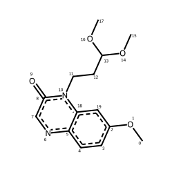 COc1ccc2ncc(=O)n(CCC(OC)OC)c2c1